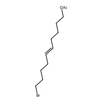 CC(=O)OCCCC/C=C/CCCCBr